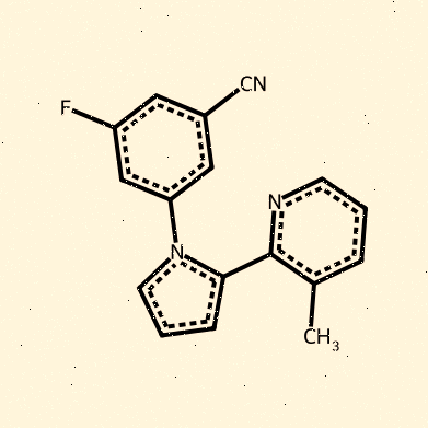 Cc1cccnc1-c1cccn1-c1cc(F)cc(C#N)c1